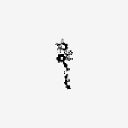 C#CCOCCOCC#Cc1cccc2c1n(C)c(=O)n2C1CCC(=O)N(C)C1=O